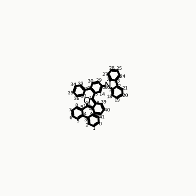 c1ccc(-c2ccccc2-c2oc(-c3cc(-n4c5ccccc5c5ccccc54)ccc3-c3ccccc3)c3ccccc23)cc1